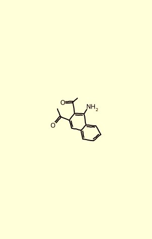 CC(=O)c1cc2ccccc2c(N)c1C(C)=O